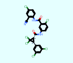 N#Cc1cc(Cl)ccc1NC(=O)c1cc(NC(=O)[C@@H]2[C@@H](c3cc(Cl)cc(Cl)c3)C2(Cl)Cl)ccc1Cl